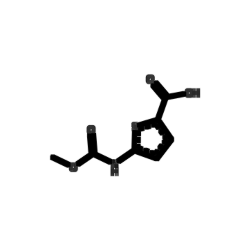 COC(=O)Nc1ccc(C(=O)O)s1